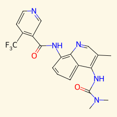 Cc1cnc2c(NC(=O)c3cnccc3C(F)(F)F)cccc2c1NC(=O)N(C)C